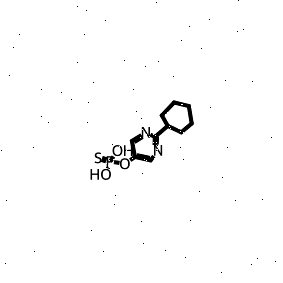 OP(O)(=S)Oc1cnc(C2CCCCC2)nc1